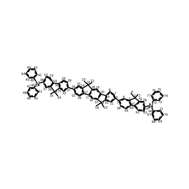 CC1(C)c2cc(-c3ccc4c(c3)C(C)(C)c3cc5c(cc3-4)C(C)(C)c3cc(-c4ccc6c(c4)C(C)(C)c4cc(N(c7ccccc7)c7ccccc7)ccc4-6)ccc3-5)ccc2-c2ccc(N(c3ccccc3)c3ccccc3)cc21